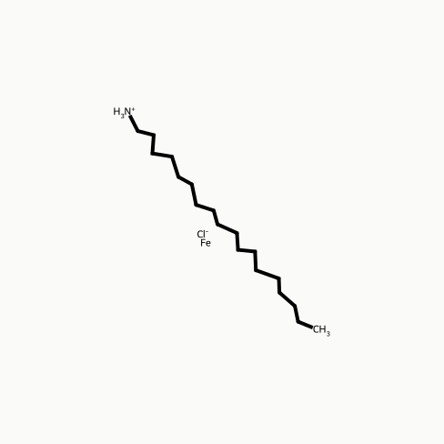 CCCCCCCCCCCCCCCCCC[NH3+].[Cl-].[Fe]